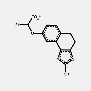 CCC(Oc1ccc2c(c1)-c1nc(S)sc1CC2)C(=O)O